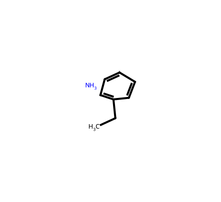 CCc1cc[c]cc1.N